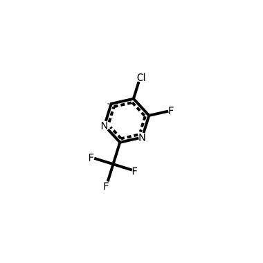 Fc1nc(C(F)(F)F)n[c]c1Cl